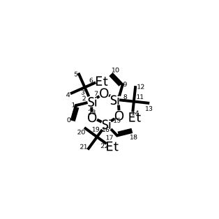 C=C[Si]1(C(C)(C)CC)O[Si](C=C)(C(C)(C)CC)O[Si](C=C)(C(C)(C)CC)O1